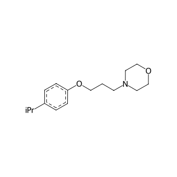 CC(C)c1ccc(OCCCN2CCOCC2)cc1